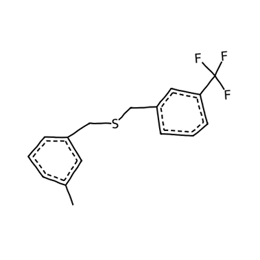 Cc1cccc(CSCc2cccc(C(F)(F)F)c2)c1